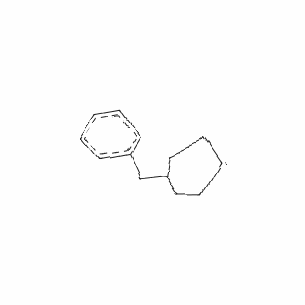 [CH]1CCC(Cc2ccccc2)CC1